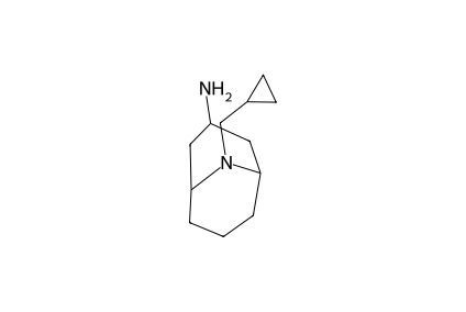 NC1CC2CCCC(C1)N2CC1CC1